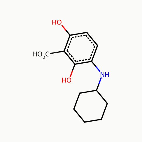 O=C(O)c1c(O)ccc(NC2CCCCC2)c1O